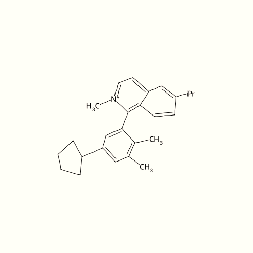 Cc1cc(C2CCCC2)cc(-c2c3ccc(C(C)C)cc3cc[n+]2C)c1C